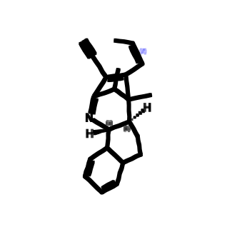 C#CC1=C(/C=C\C)C2(C)C(C)C1=N[C@H]1C3C=CC=CC3CC[C@@H]12